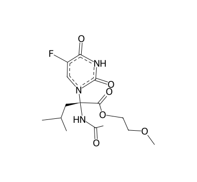 COCCOC(=O)[C@](CC(C)C)(NC(C)=O)n1cc(F)c(=O)[nH]c1=O